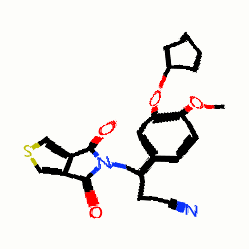 COc1ccc(C(CC#N)N2C(=O)c3cscc3C2=O)cc1OC1CCCC1